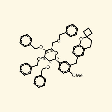 COc1ccc([C@@H]2O[C@H](COCc3ccccc3)[C@@H](OCc3ccccc3)[C@H](OCc3ccccc3)[C@H]2OCc2ccccc2)cc1Cc1ccc2c(c1)CCC1(CCC1)O2